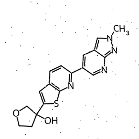 Cn1cc2cc(-c3ccc4cc(C5(O)CCOC5)sc4n3)cnc2n1